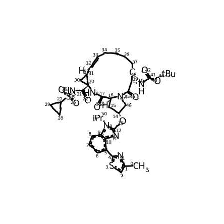 Cc1csc(-c2cccc3c2nc(O[C@@H]2C[C@H]4C(=O)N[C@]5(C(=O)NS(=O)(=O)C6CC6)C[C@H]5/C=C\CCCCC[C@H](NC(=O)OC(C)(C)C)C(=O)N4C2)n3C(C)C)n1